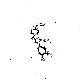 N#Cc1ccc(N2C[C@@H](C(=O)N3CCC(NC(=O)O)CC3)O[C@@H]2C(F)(F)F)cc1C(F)(F)F